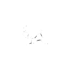 Nc1nc(CO)c2sc(=O)n([C@H]3CC[C@@H](CO)O3)c2n1